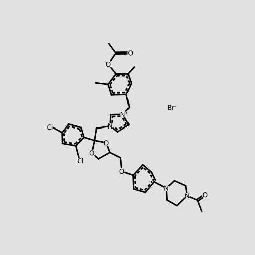 CC(=O)Oc1c(C)cc(C[n+]2ccn(CC3(c4ccc(Cl)cc4Cl)OCC(COc4ccc(N5CCN(C(C)=O)CC5)cc4)O3)c2)cc1C.[Br-]